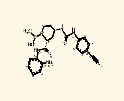 CB(O)N1CC[C@@H](NC(=O)Nc2ccc(C#N)cc2)C[C@@H]1C(=O)Nc1ccccc1N